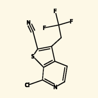 N#Cc1sc2c(Cl)nccc2c1CC(F)(F)F